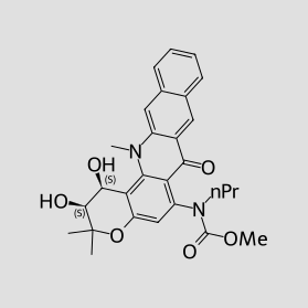 CCCN(C(=O)OC)c1cc2c(c3c1c(=O)c1cc4ccccc4cc1n3C)[C@H](O)[C@H](O)C(C)(C)O2